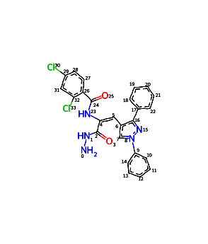 NNC(=O)/C(=C\c1cn(-c2ccccc2)nc1-c1ccccc1)NC(=O)c1ccc(Cl)cc1Cl